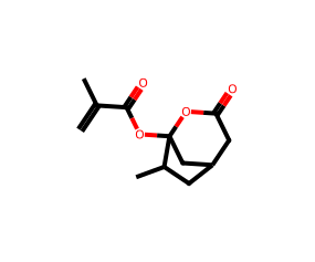 C=C(C)C(=O)OC12CC(CC(=O)O1)CC2C